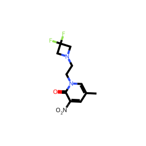 Cc1cc([N+](=O)[O-])c(=O)n(CCN2CC(F)(F)C2)c1